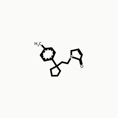 Cc1ccc(C2(CCN3CC=CC3=O)CCCC2)cc1